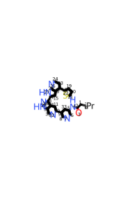 CC(C)CC(=O)Nc1cncc(-c2cc3c(-c4cc5c(-c6cccs6)ccnc5[nH]4)n[nH]c3cn2)c1